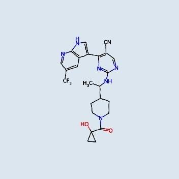 CC(Nc1ncc(C#N)c(-c2c[nH]c3ncc(C(F)(F)F)cc23)n1)C1CCN(C(=O)C2(O)CC2)CC1